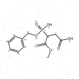 COC(=O)C(CC(=O)O)P(=O)(O)OCc1ccccc1